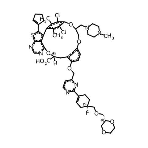 Cc1c(Cl)c2c(Cl)c(C)c1-c1c(C3=CCCC3)sc3ncnc(c13)O[C@@H](C(=O)O)Cc1cc(ccc1OCc1ccnc(C3=CC[C@](F)(COC[C@H]4COCCO4)CC3)n1)OCC(CN1CCN(C)CC1)O2